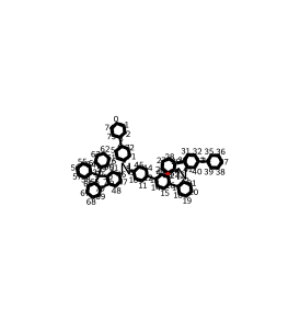 c1ccc(-c2ccc(N(c3ccc(-c4ccc(-c5ccccc5-n5c6ccccc6c6ccc(-c7ccccc7)cc65)cc4)cc3)c3ccc4c(c3)C(c3ccccc3)(c3ccccc3)c3ccccc3-4)cc2)cc1